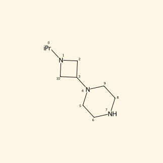 CC(C)N1CC(N2CCNCC2)C1